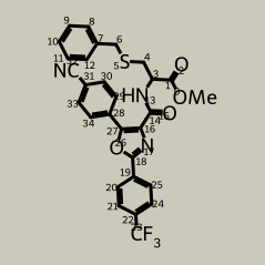 COC(=O)C(CSCc1ccccc1)NC(=O)c1nc(-c2ccc(C(F)(F)F)cc2)oc1-c1ccc(C#N)cc1